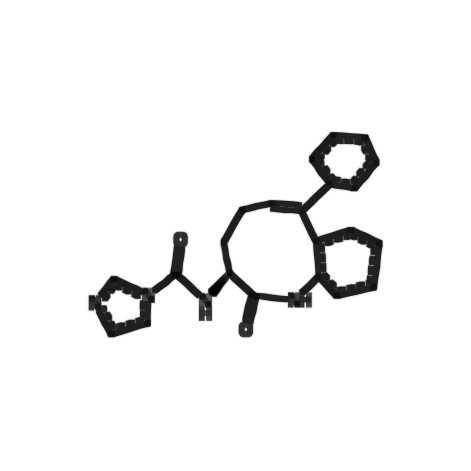 O=C1Nc2ccccc2/C(c2ccccc2)=C\CC[C@@H]1NC(=O)n1ccnc1